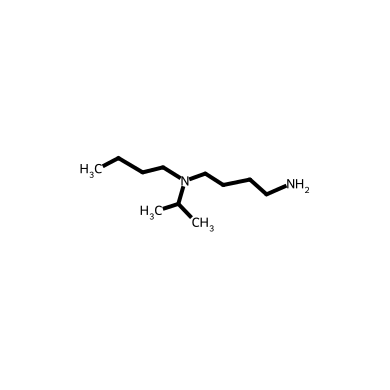 CCCCN(CCCCN)C(C)C